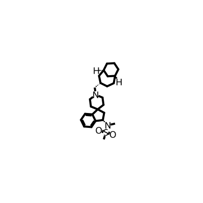 CN([C@H]1CC2(CCN(C[C@H]3CC[C@H]4CCC[C@@H](C4)C3)CC2)c2ccccc21)S(C)(=O)=O